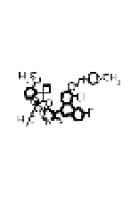 CCOC(=O)C(Oc1ncnc2sc3c4ccc(F)cc4c4c(Cl)c(OCCN5CCN(C)CC5)ccc4c3c12)C1(c2ccccc2OC)CCC1